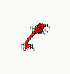 CC(=N)N1C(=N)[C@H](CC(=O)Nc2ccc(OCCOCCOCCOCCOCCOCCOCCOCCC(=O)NCCCN(C)CCCNC(=O)c3cc(NC(=O)c4nc(NC(=O)CCNC(=O)c5c(NC(=O)c6nc(NC(=O)CCNC(=O)c7cc(NC(=O)c8nccn8C)cn7C)cn6C)ccn5C)cn4C)cn3C)cc2)N=C(c2ccc(Cl)cc2)c2c1sc(C)c2C